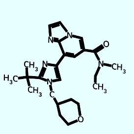 CCN(C)C(=O)c1cc(-c2cn(CC3CCOCC3)c(C(C)(C)C)n2)c2nccn2c1